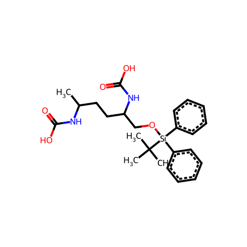 CC(CCC(CO[Si](c1ccccc1)(c1ccccc1)C(C)(C)C)NC(=O)O)NC(=O)O